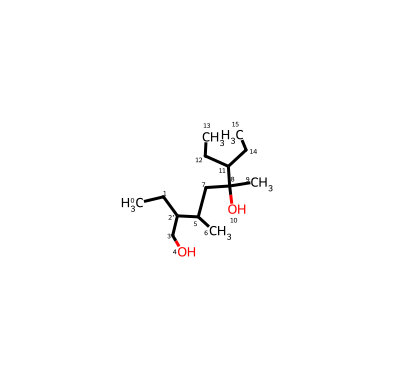 CC[C](CO)C(C)CC(C)(O)C(CC)CC